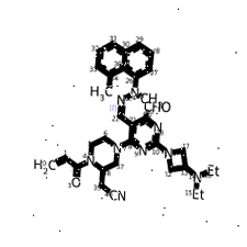 C=CC(=O)N1CCN(c2nc(N3CC(N(CC)CC)C3)nc(C=O)c2/C=N\N(C)c2cccc3cccc(C)c23)CC1CC#N